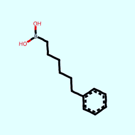 OB(O)CCCCCCc1ccccc1